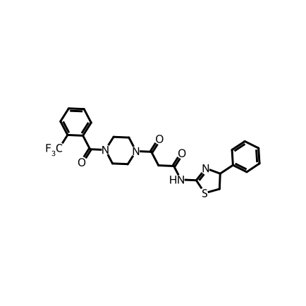 O=C(CC(=O)N1CCN(C(=O)c2ccccc2C(F)(F)F)CC1)NC1=NC(c2ccccc2)CS1